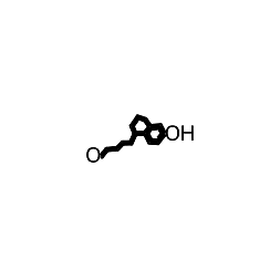 O=CCCCCC1CCCc2cc(O)ccc21